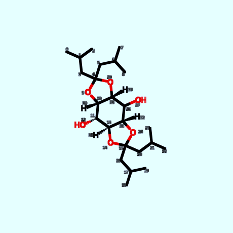 CC(C)CC1(CC(C)C)O[C@H]2[C@@H](O)[C@@H]3OC(CC(C)C)(CC(C)C)O[C@H]3C(O)[C@H]2O1